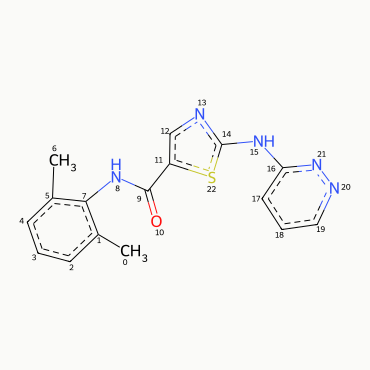 Cc1cccc(C)c1NC(=O)c1cnc(Nc2cccnn2)s1